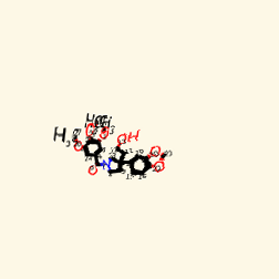 COc1cc(C(=O)N2CCC(CCO)(c3ccc4c(c3)OCO4)C2)cc(OC)c1OC